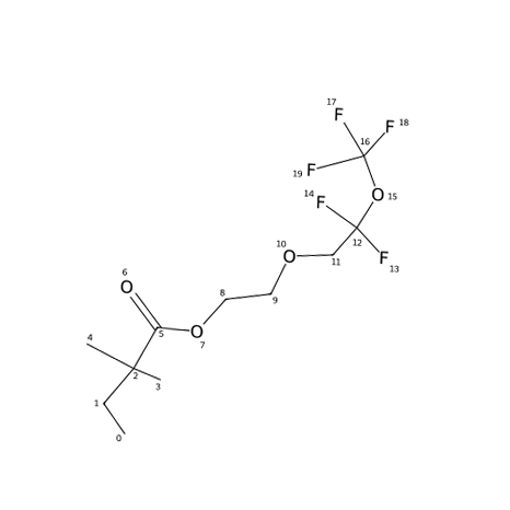 CCC(C)(C)C(=O)OCCOCC(F)(F)OC(F)(F)F